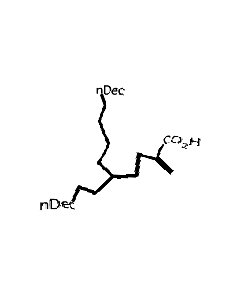 C=C(CCC(CCCCCCCCCCCC)CCCCCCCCCCCCCC)C(=O)O